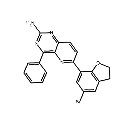 Nc1nc(-c2ccccc2)c2nc(-c3cc(Br)cc4c3OCC4)ccc2n1